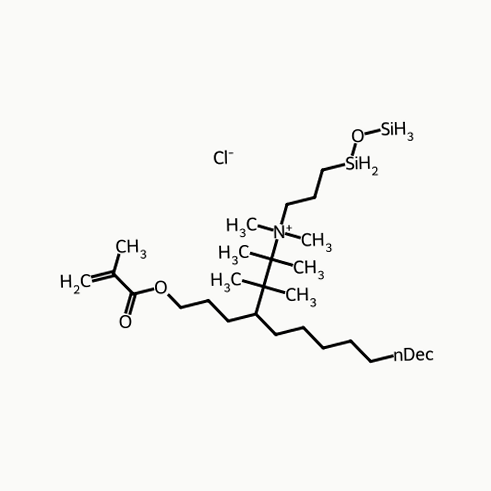 C=C(C)C(=O)OCCCC(CCCCCCCCCCCCCCC)C(C)(C)C(C)(C)[N+](C)(C)CCC[SiH2]O[SiH3].[Cl-]